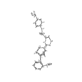 COc1ccccc1-c1ccc(N2CCCC(NCc3ccc([N+](=O)[O-])cc3)C2)nn1